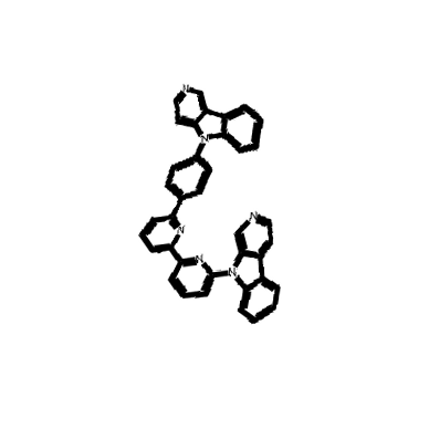 c1cc(-c2ccc(-n3c4ccccc4c4cnccc43)cc2)nc(-c2cccc(-n3c4ccccc4c4ccncc43)n2)c1